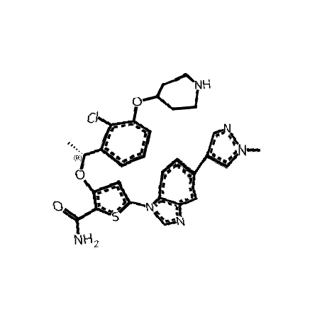 C[C@@H](Oc1cc(-n2cnc3cc(-c4cnn(C)c4)ccc32)sc1C(N)=O)c1cccc(OC2CCNCC2)c1Cl